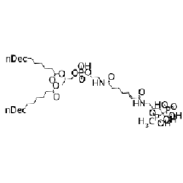 CCCCCCCCCCCCCCCC(=O)OCC(COP(=O)(O)OCCNC(=O)CCC/C=C/C(=O)NCCCC(O)(P(C)(=O)O)P(=O)(O)O)OC(=O)CCCCCCCCCCCCCCC